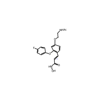 CC(=O)NCCOc1ccc(/C=C/C(=O)NO)c(Oc2ccc(F)cc2)c1